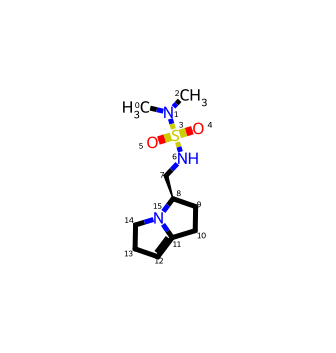 CN(C)S(=O)(=O)NC[C@H]1CCC2=CCCN21